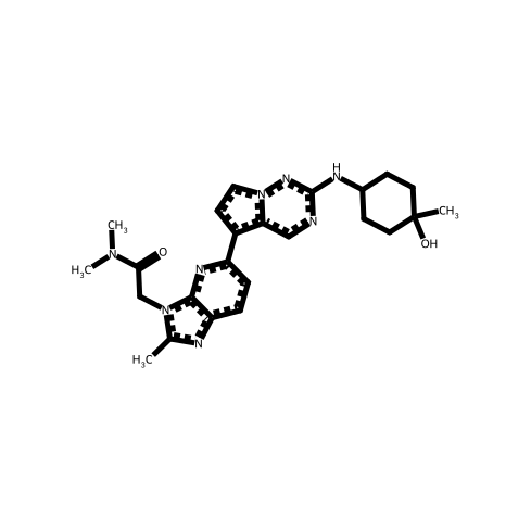 Cc1nc2ccc(-c3ccn4nc(NC5CCC(C)(O)CC5)ncc34)nc2n1CC(=O)N(C)C